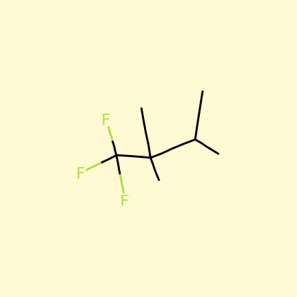 CC(C)C(C)(C)C(F)(F)F